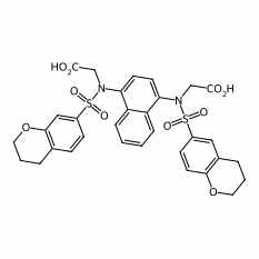 O=C(O)CN(c1ccc(N(CC(=O)O)S(=O)(=O)c2ccc3c(c2)OCCC3)c2ccccc12)S(=O)(=O)c1ccc2c(c1)CCCO2